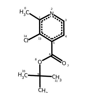 Cc1nccc(C(=O)OC(C)(C)C)c1Cl